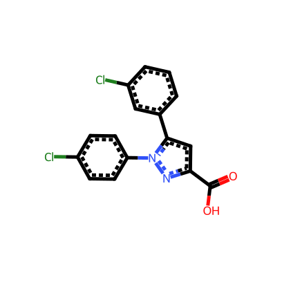 O=C(O)c1cc(-c2cccc(Cl)c2)n(-c2ccc(Cl)cc2)n1